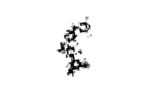 Cc1nc([C@H](C)NC(=O)c2cc(C(F)(F)F)cc(C(F)(F)F)c2)n(-c2ccc(C(=O)N3C[C@@H](C)O[C@@H](C)C3)nn2)n1